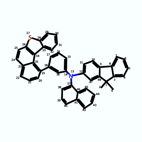 CC1(C)c2ccccc2-c2ccc(N(c3cccc(-c4cccc5ccc6sc7ccccc7c6c45)c3)c3cccc4ccccc34)cc21